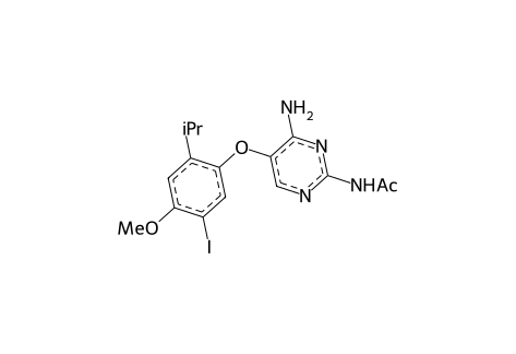 COc1cc(C(C)C)c(Oc2cnc(NC(C)=O)nc2N)cc1I